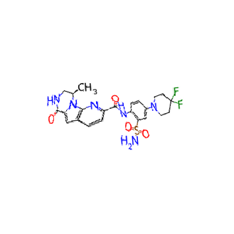 C[C@@H]1CNC(=O)c2cc3ccc(C(=O)Nc4ccc(N5CCC(F)(F)CC5)cc4S(N)(=O)=O)nc3n21